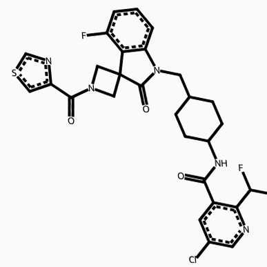 O=C(NC1CCC(CN2C(=O)C3(CN(C(=O)c4cscn4)C3)c3c(F)cccc32)CC1)c1cc(Cl)cnc1C(F)F